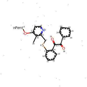 CCCCCOc1ccnc(CSc2ccccc2C(=O)C(=O)c2ccccc2)c1C